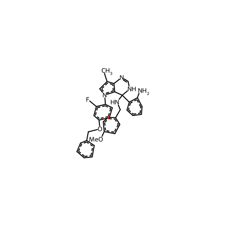 COc1ccc(CNC2(c3ccccc3N)NC=Nc3c(C)cn(-c4ccc(OCc5ccccc5)cc4F)c32)cc1